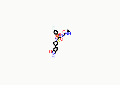 O=C(CNC(=O)C(c1nc2ccc(-c3ccc4c(c3)C(=O)NC4)cc2s1)S(=O)(=O)c1ccc(F)cc1)NC1CC1